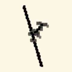 CCCCCCCCCCCCCCCCOC(=O)CCC(NC(=O)C(N)CCCNC(=N)N)C(=O)OCCCCCCCCCCCCCCCC